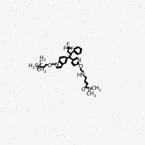 CN(C)C(=O)/C=C/CNCCOc1ccc(/C(=C(/CC(F)(F)F)c2ccccc2)c2ccc3c(ccn3COCC[Si](C)(C)C)c2)cn1